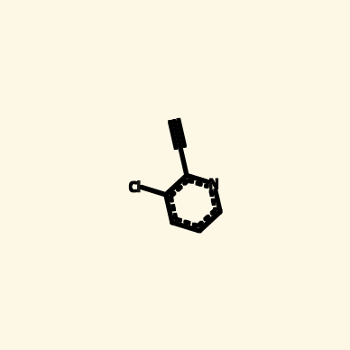 C#Cc1ncccc1Cl